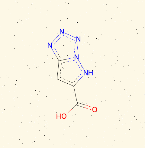 O=C(O)c1cc2nnnn2[nH]1